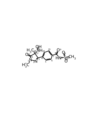 CN1N=C(c2ccc(C(=O)NS(C)(=O)=O)cc2)C(C)(NO)C1=O